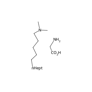 CCCCCCCCCCCCN(C)C.NCC(=O)O